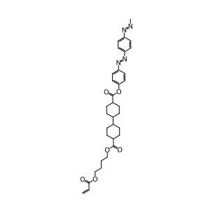 C=CC(=O)OCCCCOC(=O)C1CCC(C2CCC(C(=O)Oc3ccc(N=Nc4ccc(N=NC)cc4)cc3)CC2)CC1